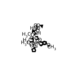 CC[C@@H]1C[C@]1(NC(=O)[C@@H]1C[C@@H](Oc2nccc3cc(OC)ccc23)CN1C(=O)[C@@H](NC(=O)OC1CCCC1)C(C)(C)C)C(=O)NS(=O)(=O)OC1CC1